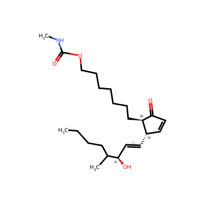 CCCCC(C)[C@H](O)/C=C/[C@H]1C=CC(=O)[C@@H]1CCCCCCCOC(=O)NC